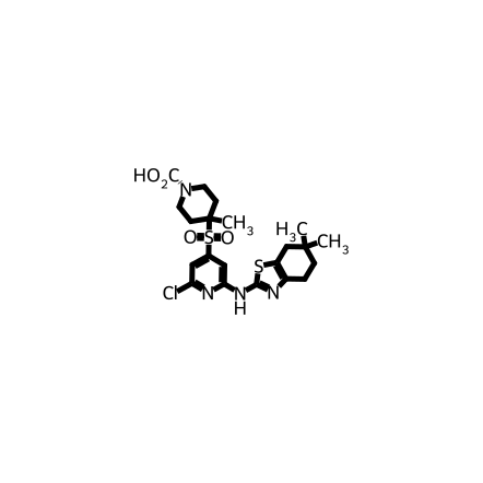 CC1(C)CCc2nc(Nc3cc(S(=O)(=O)C4(C)CCN(C(=O)O)CC4)cc(Cl)n3)sc2C1